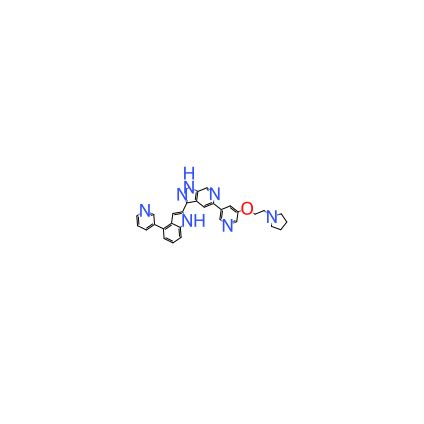 c1cncc(-c2cccc3[nH]c(-c4n[nH]c5cnc(-c6cncc(OCCN7CCCC7)c6)cc45)cc23)c1